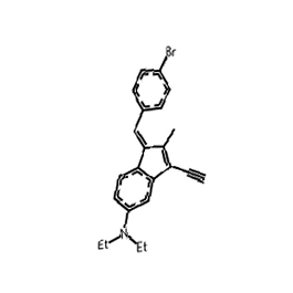 C#CC1=C(C)C(=Cc2ccc(Br)cc2)c2ccc(N(CC)CC)cc21